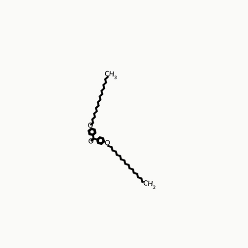 CCCCCCCCCCCCCCCCCCOc1ccc(C(=O)c2ccc(OCCCCCCCCCCCCCCCCCC)cc2)cc1